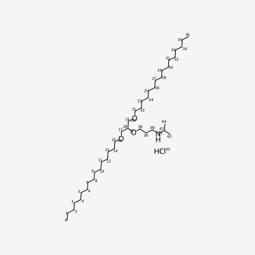 CCCCCCCCCCCCCCCCOCC(COCCCCCCCCCCCCCCCC)OCCCNC(C)C.Cl